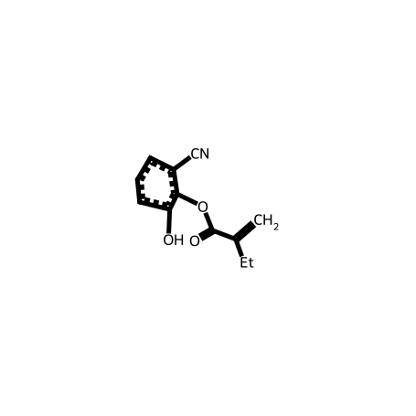 C=C(CC)C(=O)Oc1c(O)cccc1C#N